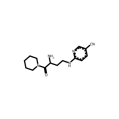 N#Cc1ccc(NCCC(N)C(=O)N2CCCCC2)nc1